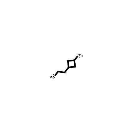 CCC[C]1CC(C)C1